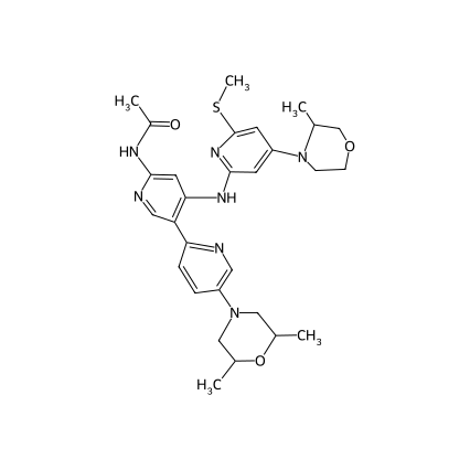 CSc1cc(N2CCOCC2C)cc(Nc2cc(NC(C)=O)ncc2-c2ccc(N3CC(C)OC(C)C3)cn2)n1